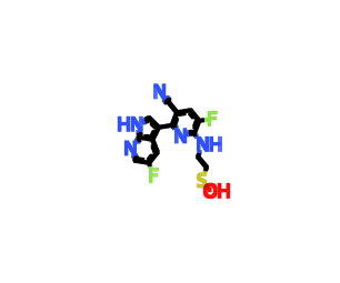 N#Cc1cc(F)c(NCCSO)nc1-c1c[nH]c2ncc(F)cc12